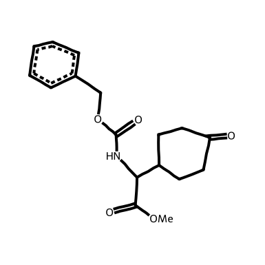 COC(=O)C(NC(=O)OCc1ccccc1)C1CCC(=O)CC1